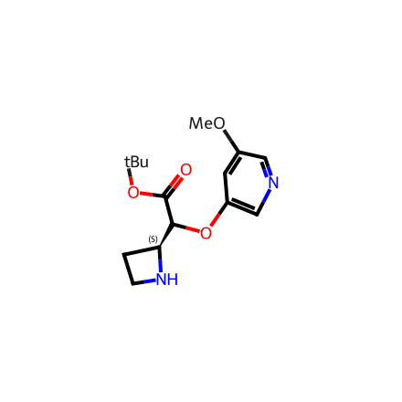 COc1cncc(OC(C(=O)OC(C)(C)C)[C@@H]2CCN2)c1